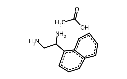 CC(=O)O.NCC(N)c1cccc2ccccc12